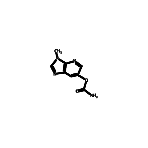 Cn1cnc2cc(OC(N)=O)cnc21